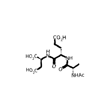 CC(=O)N[C@@H](C)C(=O)N[C@@H](CCC(=O)O)C(=O)N[C@@H](CC(=O)O)C(=O)O